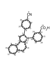 N#Cc1ccc(-c2cc3c4ccccc4ccc3n2-c2cccc(C(=O)O)c2)cc1